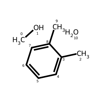 CO.Cc1ccccc1C.O